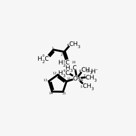 C=CC(=C)C.[CH3][Os]([CH3])([CH3])([CH3])([CH3])[C]1=CC=CC1.[H-]